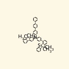 CC1(C)c2ccccc2-c2ccc(N(c3ccc(-c4ccc(-c5ccccc5)cc4)cc3)c3ccc(-c4cccc5c4-c4sc6ccccc6c4C5(C)C)cc3)cc21